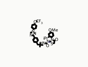 COc1ccc(N2C(=O)CS/C2=N\C(=O)NCC(C)(C)Cc2ccc(-c3ncn(-c4ccc(OC(F)(F)F)cc4)n3)cc2)c(C(C)C)c1